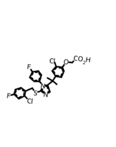 CC(C)(c1ccc(OCC(=O)O)c(Cl)c1)c1cnc(SCc2ccc(F)cc2Cl)n1-c1ccc(F)cc1